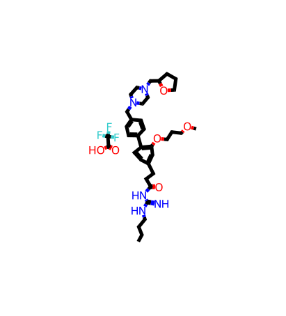 CCCCNC(=N)NC(=O)CCc1ccc(-c2ccc(CN3CCN(CC4CCCO4)CC3)cc2)c(OCCCOC)c1.O=C(O)C(F)(F)F